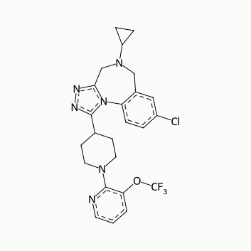 FC(F)(F)Oc1cccnc1N1CCC(c2nnc3n2-c2ccc(Cl)cc2CN(C2CC2)C3)CC1